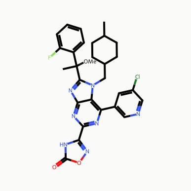 COC(C)(c1ccccc1F)c1nc2nc(-c3noc(=O)[nH]3)nc(-c3cncc(Cl)c3)c2n1CC1CCC(C)CC1